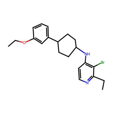 CCOc1cccc(C2CCC(Nc3ccnc(CC)c3Br)CC2)c1